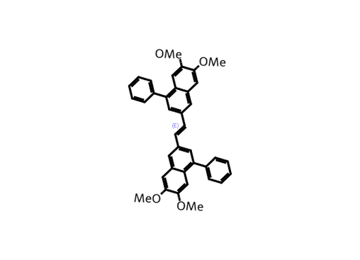 COc1cc2cc(/C=C/c3cc(-c4ccccc4)c4cc(OC)c(OC)cc4c3)cc(-c3ccccc3)c2cc1OC